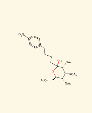 CC(=O)OC[C@H]1O[C@](O)(CCCCc2ccc([N+](=O)[O-])cc2)[C@H](OC(C)=O)[C@@H](OC(C)=O)[C@@H]1OC(C)=O